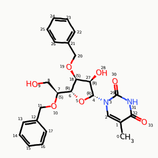 Cc1cn([C@@H]2O[C@H]([C@H](CO)OCc3ccccc3)[C@@H](OCc3ccccc3)[C@H]2O)c(=O)[nH]c1=O